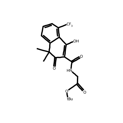 CC(C)(C)OC(=O)CNC(=O)C1=C(O)c2c(C(F)(F)F)cccc2C(C)(C)C1=O